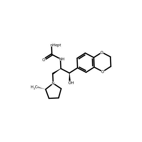 CCCCCCCC(=O)N[C@H](CN1CCC[C@@H]1C)[C@H](O)c1ccc2c(c1)OCCO2